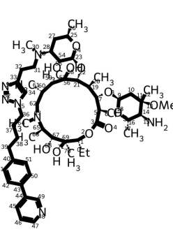 CC[C@H]1OC(=O)[C@H](C)[C@@H](O[C@H]2C[C@@](C)(OC)[C@@H](N)[C@H](C)O2)[C@H](C)[C@@H](O[C@@H]2O[C@H](C)C[C@H](N(C)CCc3cn(CCCCc4ccc(-c5cccnc5)cc4)nn3)[C@H]2O)[C@](C)(O)C[C@@H](C)CN(C)[C@H](C)[C@@H](O)[C@]1(C)O